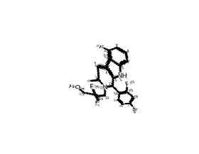 CC1Cc2c([nH]c3cccc(F)c23)C(c2ccc(Br)cc2F)N1CC(F)(F)CO